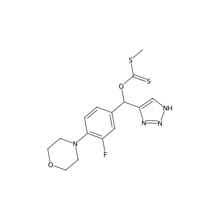 CSC(=S)OC(c1ccc(N2CCOCC2)c(F)c1)c1c[nH]nn1